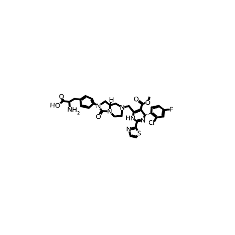 COC(=O)C1=C(CN2CCN3C(=O)N(c4ccc(CC(N)C(=O)O)cc4)C[C@@H]3C2)NC(c2nccs2)=N[C@H]1c1ccc(F)cc1Cl